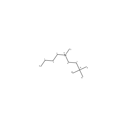 CCCCN(C)CCC(C)(C)C